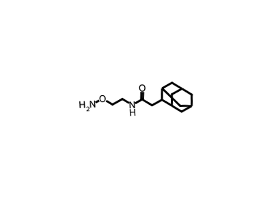 NOCCNC(=O)CC1C2CC3CC(C2)CC1C3